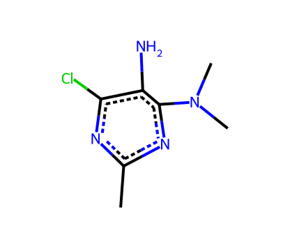 Cc1nc(Cl)c(N)c(N(C)C)n1